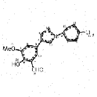 COc1cc(-c2cnn(-c3ccc(C(F)(F)F)cc3)c2)cc(C=O)c1O